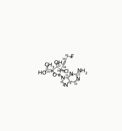 C[C@H](O)[C@H]1O[C@@H](n2cnc3cnc(N)nc32)[C@@](Cl)(C#CCF)C1O